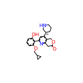 O=C1Cc2nc(-c3c(O)cccc3OCC3CC3)cc([C@@H]3CCCNC3)c2CO1